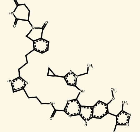 CCn1nc(C2CC2)cc1Nc1nc(C(=O)NCCCc2c[nH]c(CCCc3cccc4c3CN(C3CCC(=O)NC3=O)C4=O)n2)nc2[nH]c3cc(-c4c(C)noc4C)c(OC)cc3c12